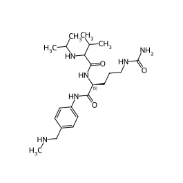 CNCc1ccc(NC(=O)[C@H](CCCNC(N)=O)NC(=O)C(NC(C)C)C(C)C)cc1